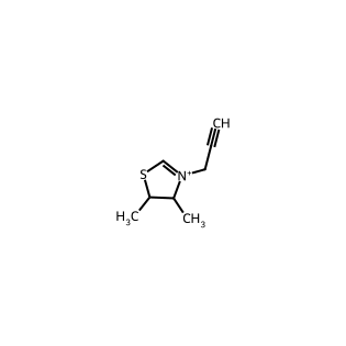 C#CC[N+]1=CSC(C)C1C